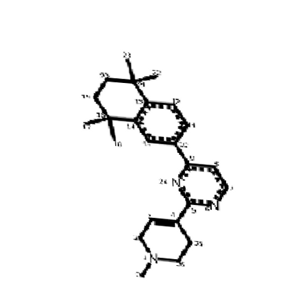 CN1CC=C(c2nccc(-c3ccc4c(c3)C(C)(C)CCC4(C)C)n2)CC1